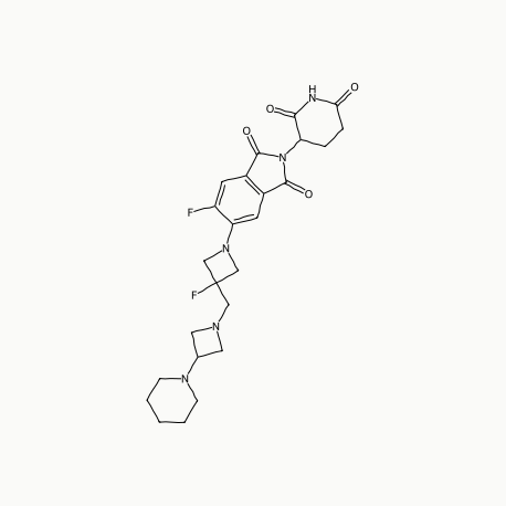 O=C1CCC(N2C(=O)c3cc(F)c(N4CC(F)(CN5CC(N6CCCCC6)C5)C4)cc3C2=O)C(=O)N1